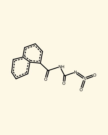 O=C(N=S(=O)=O)NC(=O)c1cccc2ccccc12